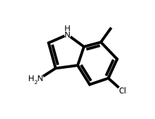 Cc1cc(Cl)cc2c(N)c[nH]c12